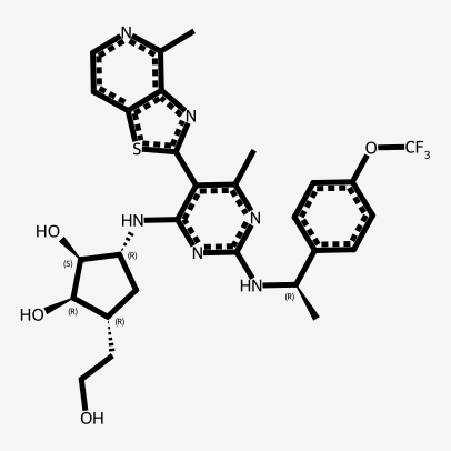 Cc1nc(N[C@H](C)c2ccc(OC(F)(F)F)cc2)nc(N[C@@H]2C[C@H](CCO)[C@@H](O)[C@H]2O)c1-c1nc2c(C)nccc2s1